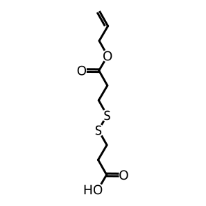 C=CCOC(=O)CCSSCCC(=O)O